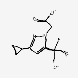 O=C([O-])Cn1nc(C2CC2)cc1C(F)(F)F.[Li+]